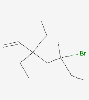 C=CC(CC)(CC)CC(C)(Br)CC